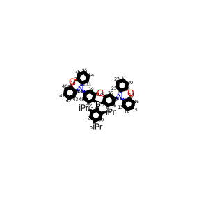 CC(C)c1cc(C(C)C)c(B2c3ccc(N4c5ccccc5Oc5ccccc54)cc3Oc3cc(N4c5ccccc5Oc5ccccc54)ccc32)c(C(C)C)c1